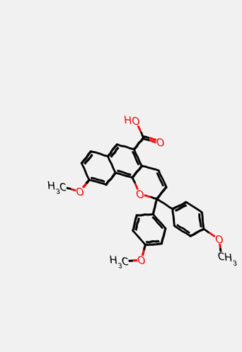 COc1ccc(C2(c3ccc(OC)cc3)C=Cc3c(C(=O)O)cc4ccc(OC)cc4c3O2)cc1